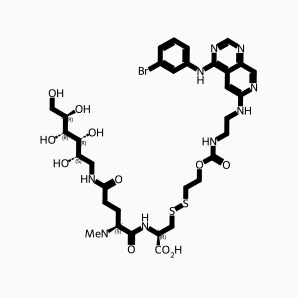 CN[C@@H](CCC(=O)NC[C@H](O)[C@@H](O)[C@H](O)[C@H](O)CO)C(=O)N[C@@H](CSSCCOC(=O)NCCNc1cc2c(Nc3cccc(Br)c3)ncnc2cn1)C(=O)O